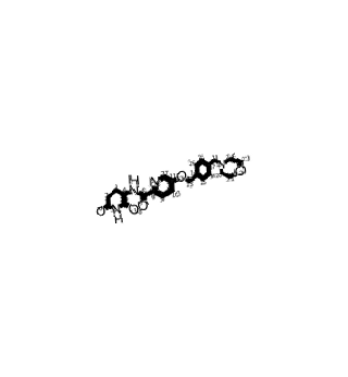 O=C1CCC(NC(=O)c2ccc(OCc3ccc(CN4CCOCC4)cc3)cn2)C(=O)N1